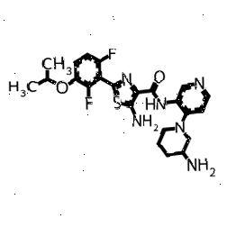 CC(C)Oc1ccc(F)c(-c2nc(C(=O)Nc3cnccc3N3CCCC(N)C3)c(N)s2)c1F